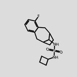 O=S(=O)(NC1CCC1)NC1C2CCC1Cc1c(F)cccc1C2